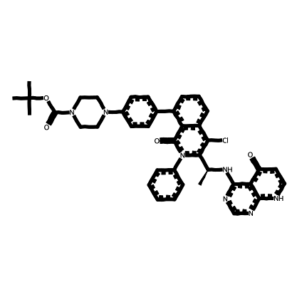 C[C@H](Nc1ncnc2[nH]ccc(=O)c12)c1c(Cl)c2cccc(-c3ccc(N4CCN(C(=O)OC(C)(C)C)CC4)cc3)c2c(=O)n1-c1ccccc1